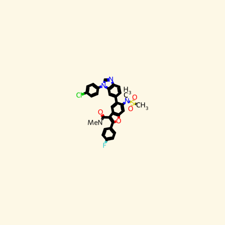 CNC(=O)c1c(-c2ccc(F)cc2)oc2cc(N(C)S(C)(=O)=O)c(-c3ccc4ncn(-c5ccc(Cl)cc5)c4c3)cc12